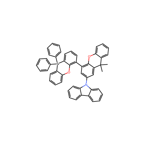 CC1(C)c2ccccc2Oc2c(-c3cccc4c3Oc3ccccc3[Si]4(c3ccccc3)c3ccccc3)cc(-n3c4ccccc4c4ccccc43)cc21